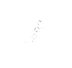 CCc1cnc(-c2cc(Cl)c(N3CCC(C(=O)OC)CC3)nc2N)o1